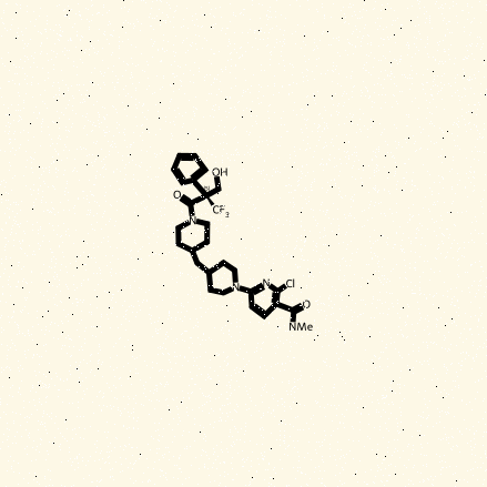 CNC(=O)c1ccc(N2CCC(CC3CCN(C(=O)[C@@](CO)(c4ccccc4)C(F)(F)F)CC3)CC2)nc1Cl